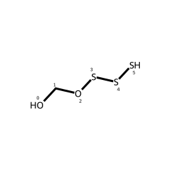 OCOSSS